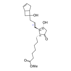 COC(=O)CCCCCC[C@H]1C(=O)C[C@@H](O)[C@@H]1/C=C/CC1(O)CC2C=CCC21